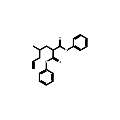 C=CCC(C)CC(C(=O)Oc1ccccc1)C(=O)Oc1ccccc1